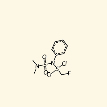 CN(C)S(=O)(=O)N(c1ccccc1)S(Cl)(Cl)CF